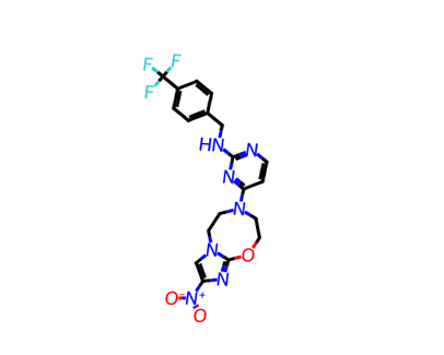 O=[N+]([O-])c1cn2c(n1)OCCN(c1ccnc(NCc3ccc(C(F)(F)F)cc3)n1)CC2